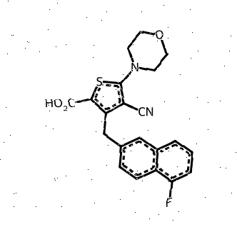 N#Cc1c(N2CCOCC2)sc(C(=O)O)c1Cc1ccc2c(F)cccc2c1